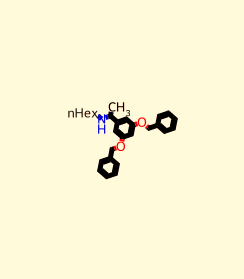 CCCCCCNC(C)c1cc(OCc2ccccc2)cc(OCc2ccccc2)c1